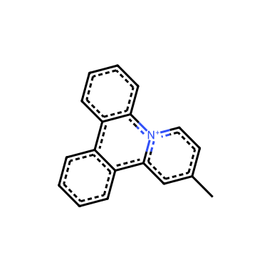 Cc1cc[n+]2c3ccccc3c3ccccc3c2c1